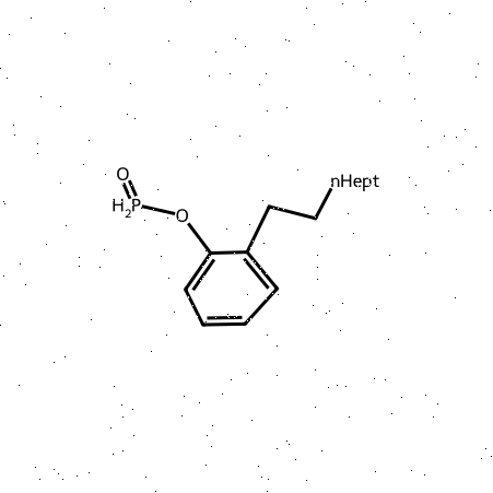 CCCCCCCCCc1ccccc1O[PH2]=O